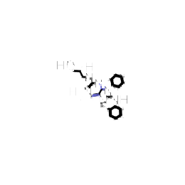 C=C(/N=C1\C(=C/N)N=C(Nc2ccccc2F)N1c1ccccc1)NCCCO